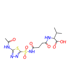 CC(=O)Nc1nnc(S(=O)(=O)NC(=O)CCC(=O)NC(C(=O)O)C(C)C)s1